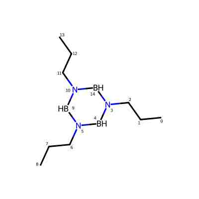 CCCN1BN(CCC)BN(CCC)B1